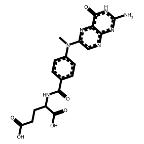 CN(c1ccc(C(=O)NC(CCC(=O)O)C(=O)O)cc1)c1cnc2nc(N)[nH]c(=O)c2n1